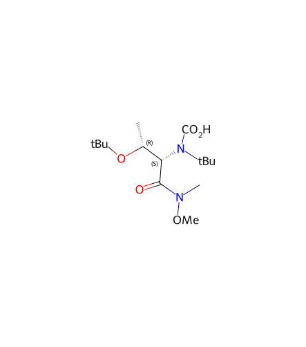 CON(C)C(=O)[C@H]([C@@H](C)OC(C)(C)C)N(C(=O)O)C(C)(C)C